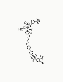 Cc1ncsc1-c1ccc(CNC(=O)[C@@H]2C[C@@H](O)CN2C(=O)C(C(C)C)n2cccc(OCCCCOc3ccc(-c4ccc(N5C(=S)N(c6ccc(C#N)c(C(F)(F)F)c6)C(=O)C5(C)C)cc4)cc3)c2=O)cc1